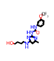 Cc1cc(NCCCCO)nc(NC(=O)Nc2cccc(OC(F)(F)F)c2)n1